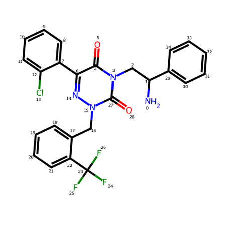 NC(Cn1c(=O)c(-c2ccccc2Cl)nn(Cc2ccccc2C(F)(F)F)c1=O)c1ccccc1